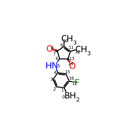 Bc1ccc(NC2C(=O)C(C)=C(C)C2=O)cc1F